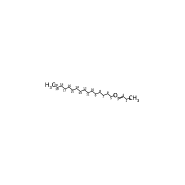 CCC=COCCCCCCCCCCCCCCCC